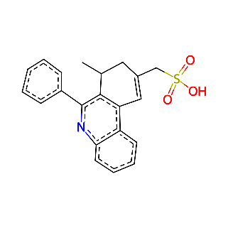 CC1CC(CS(=O)(=O)O)=Cc2c1c(-c1ccccc1)nc1ccccc21